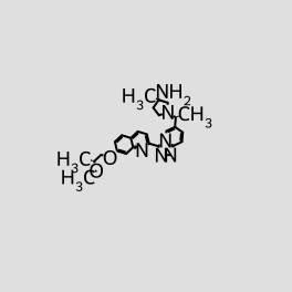 CO[C@H](C)COc1ccc2ccc(-c3nnc4ccc([C@@H](C)N5CC[C@](C)(N)C5)cn34)nc2c1